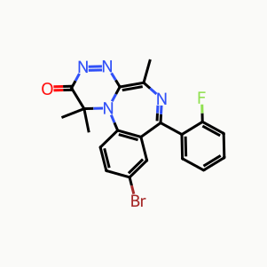 CC1=C2N=NC(=O)C(C)(C)N2c2ccc(Br)cc2C(c2ccccc2F)=N1